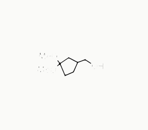 COC1(OC)CCC(CO)C1